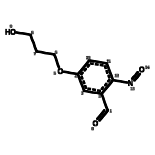 O=Cc1cc(OCCCO)ccc1N=O